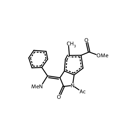 CN/C(=C1\C(=O)N(C(C)=O)c2cc(C(=O)OC)c(C)cc21)c1ccccc1